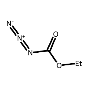 CCOC(=O)N=[N+]=[N-]